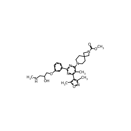 CNCC(O)COc1cccc(-c2nc(-c3c(C)noc3C)c(C)c(N3CCC4(CC3)CN(C(=O)OC)C4)n2)c1